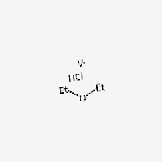 CCOCC.Cl.[V]